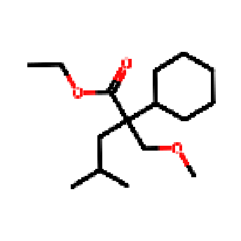 CCOC(=O)C(COC)(CC(C)C)C1CCCCC1